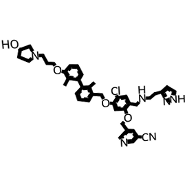 Cc1c(COc2cc(OCc3cncc(C#N)c3)c(CNCCc3cc[nH]n3)cc2Cl)cccc1-c1cccc(OCCCN2CCC(O)C2)c1C